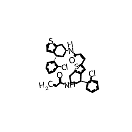 C=CC(=O)N[C@@H]1Cc2sc(/C=C\C(=O)N[C@H]3Cc4sccc4[C@@H](c4ccccc4Cl)C3)cc2[C@@H](c2ccccc2Cl)C1